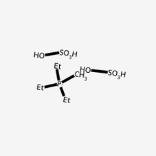 CC[P](C)(CC)CC.O=S(=O)(O)O.O=S(=O)(O)O